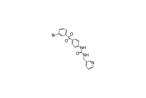 O=C(NCc1cccnc1)Nc1ccc(S(=O)(=O)c2cccc(Br)c2)cc1